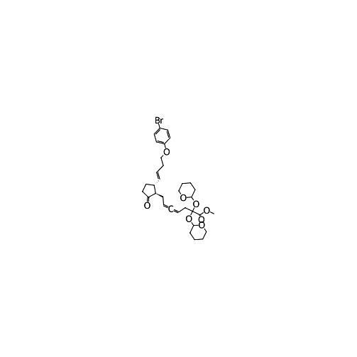 COC(=O)C(CC=C=CC[C@H]1C(=O)CC[C@@H]1/C=C/CCOc1ccc(Br)cc1)(OC1CCCCO1)OC1CCCCO1